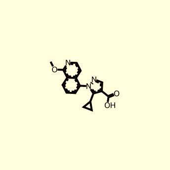 COc1nccc2c(-n3ncc(C(=O)O)c3C3CC3)cccc12